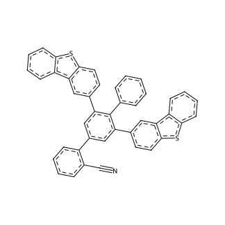 N#Cc1ccccc1-c1cc(-c2ccc3sc4ccccc4c3c2)c(-c2ccccc2)c(-c2ccc3sc4ccccc4c3c2)c1